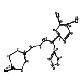 CC(=O)N1CCN(CCOC(c2ccc(Cl)c(Cl)c2)c2cc[nH]n2)CC1